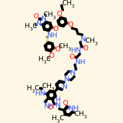 CCCOc1cc(OCCCCN(C)CC(=O)NCC(=O)NCCN2CCN(c3ccc(-c4cc(NC(C)C)c(C=N)c(C(=O)NCc5c(C)cc(C)[nH]c5=O)c4)cn3)CC2)cc(Oc2cc3c(cc2NSc2ccc(OC)c(OC)c2)n(C)c(=O)n3C)c1